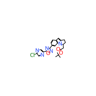 CC(C)(C)OC(=O)CC1CCc2cc3ccc(-c4noc(-c5cnc(Cl)cn5)n4)cc3n21